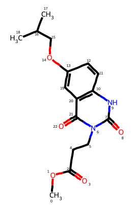 COC(=O)CCn1c(=O)[nH]c2ccc(OCC(C)C)cc2c1=O